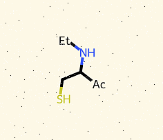 CCNC(CS)C(C)=O